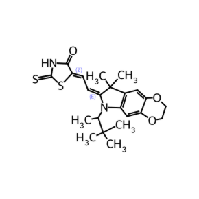 CC(N1/C(=C/C=C2\SC(=S)NC2=O)C(C)(C)c2cc3c(cc21)OCCO3)C(C)(C)C